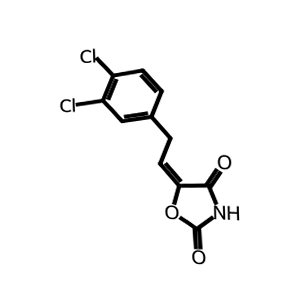 O=C1NC(=O)C(=CCc2ccc(Cl)c(Cl)c2)O1